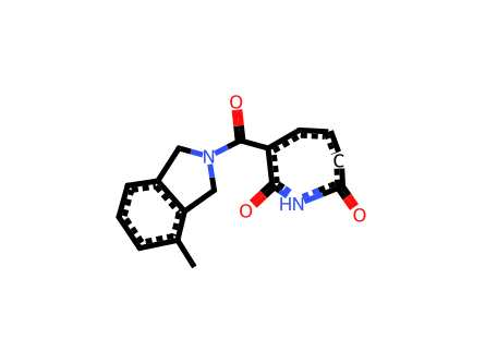 Cc1cccc2c1CN(C(=O)c1cccc(=O)[nH]c1=O)C2